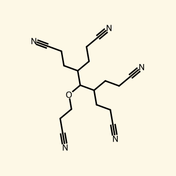 N#CCCOC(C(CCC#N)CCC#N)C(CCC#N)CCC#N